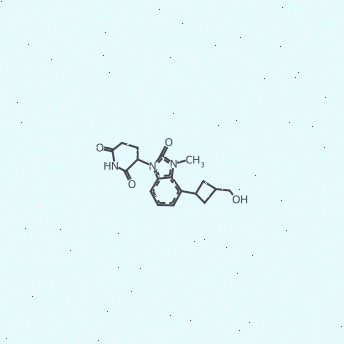 Cn1c(=O)n(C2CCC(=O)NC2=O)c2cccc(C3CC(CO)C3)c21